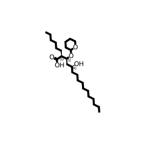 CCCCCCCCCCC[C@@H](O)C[C@H](OC1CCCCO1)[C@H](CCCCCC)C(=O)O